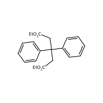 CCOC(=O)CC(CC(=O)OCC)(c1ccccc1)c1ccccc1